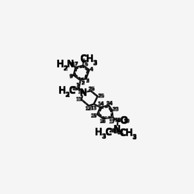 C=C(c1ccc(C)c(N)c1)N1CCC(c2ccc(C(=O)N(C)C)cc2)CC1